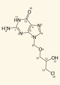 Nc1nc2c(ncn2COCC(O)CCl)c(=O)[nH]1